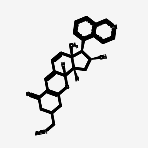 CC(=O)NCC1CC(=O)C2=C(C1)O[C@@H]1C(=C2)C=C[C@@]2(C)[C@H]1C[C@@H](O)[C@@H]2c1cccc2cnccc12